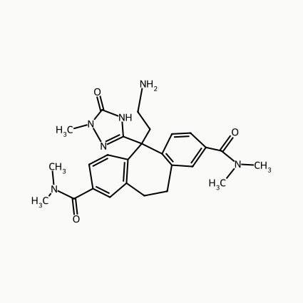 CN(C)C(=O)c1ccc2c(c1)CCc1cc(C(=O)N(C)C)ccc1C2(CCN)c1nn(C)c(=O)[nH]1